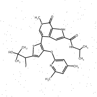 Cc1cc(C)nc(Oc2cc(C(F)C(C)(C)O)sc2-c2cn(C)c(=O)c3[nH]c(C(=O)NC(C)C)cc23)c1